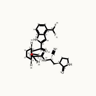 N#C[C@H](C[C@H]1CCNC1=O)NC(=O)[C@H]1[C@@H]2CC[C@@H](CC2(F)F)N1C(=O)c1cc2c(C(F)F)cccc2[nH]1